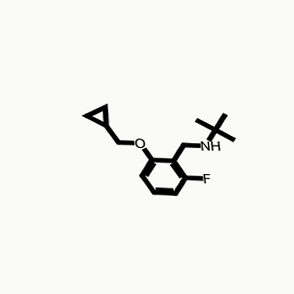 CC(C)(C)NCc1c(F)cccc1OCC1CC1